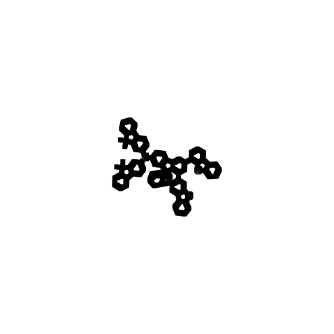 CC1(C)c2ccccc2-c2ccc(N(c3ccc4c(c3)C(C)(C)c3ccccc3-4)c3ccc4c(c3)C3(c5c(-c6ccc7c(c6)oc6ccccc67)cc(-c6cccc7c6oc6ccccc67)cc5-4)C4CC5CC(C4)CC3C5)cc21